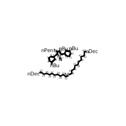 CCCCCC1=C(c2cccc(CCCC)c2)[N+](=[N-])C(c2cccc(CCCC)c2)=C1CCCC.CCCCCCCCCCCCCCCCCCC[CH2][Ni][CH2]CCCCCCCCCCCCCCCCCCC